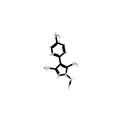 Cc1nn(SF)c(C)c1-c1ccc(N)cn1